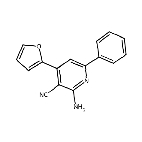 N#Cc1c(-c2ccco2)cc(-c2ccccc2)nc1N